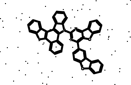 c1ccc2c(c1)oc1ccc(-c3nc(-n4c5ccccc5c5c6c7ccccc7sc6c6ccccc6c54)nc4c3oc3ccccc34)cc12